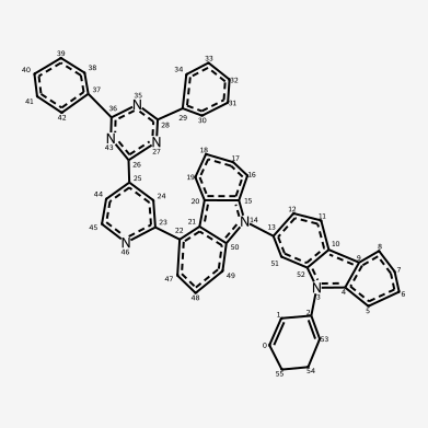 C1=CC(n2c3ccccc3c3ccc(-n4c5ccccc5c5c(-c6cc(-c7nc(-c8ccccc8)nc(-c8ccccc8)n7)ccn6)cccc54)cc32)=CCC1